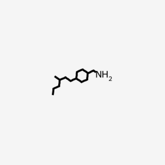 CCCC(C)CCC1CCC(CN)CC1